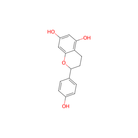 Oc1ccc(C2CCc3c(O)cc(O)cc3O2)cc1